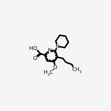 CCCCc1c(OC)cc(C(=O)O)nc1N1CCCCC1